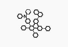 C1=CC(N(c2ccccc2)c2ccc(-c3c(-c4ccccc4)cc(-c4ccccc4)c4c5ccc(-c6ccccc6)cc5c5cc(-c6cccc7ccccc67)ccc5c34)cc2)=CCC1